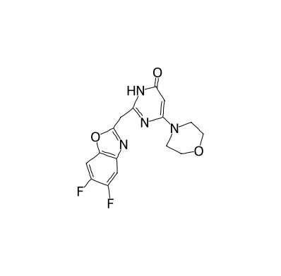 O=c1cc(N2CCOCC2)nc(Cc2nc3cc(F)c(F)cc3o2)[nH]1